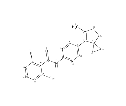 CC1=C(c2ccc(NC(=O)c3c(F)cncc3F)nc2)C2(CC1)CC2